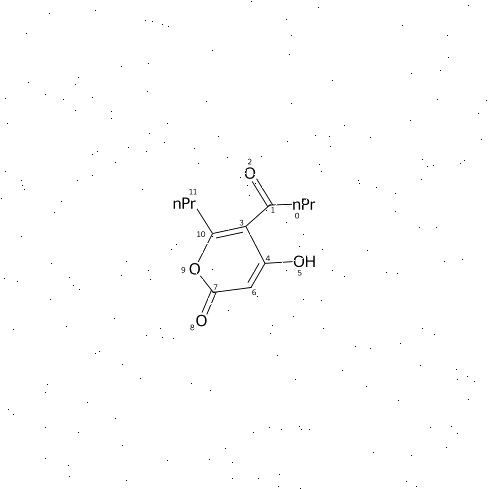 CCCC(=O)c1c(O)cc(=O)oc1CCC